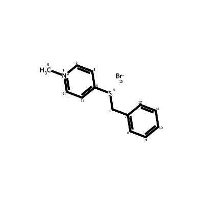 C[n+]1ccc(SCc2ccccc2)cc1.[Br-]